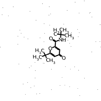 CC(C)(C)NC(=O)c1cc(=O)cc(C(C)(C)C)o1